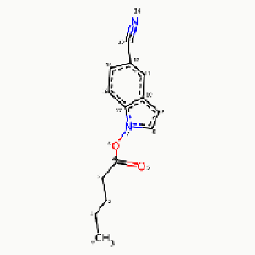 CCCCC(=O)On1ccc2cc(C#N)ccc21